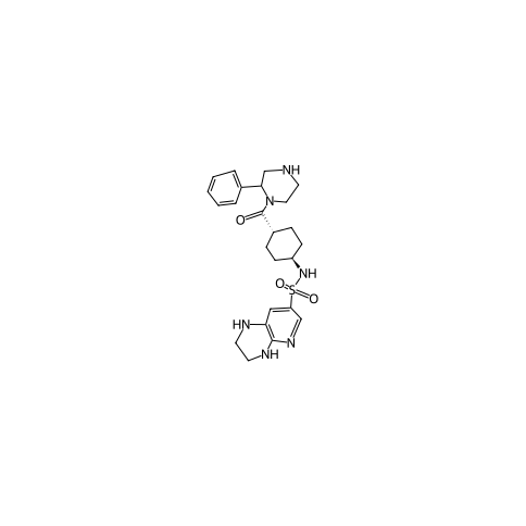 O=C([C@H]1CC[C@H](NS(=O)(=O)c2cnc3c(c2)NCCN3)CC1)N1CCNCC1c1ccccc1